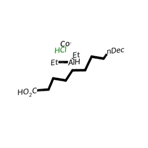 CCCCCCCCCCCCCCCCCC(=O)O.C[CH2][AlH][CH2]C.Cl.[Co]